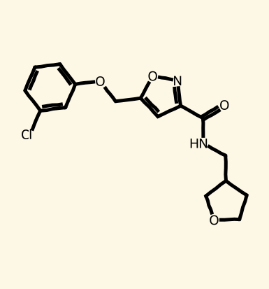 O=C(NCC1CCOC1)c1cc(COc2cccc(Cl)c2)on1